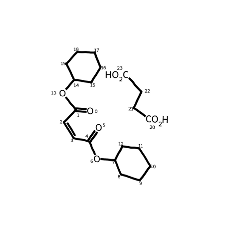 O=C(/C=C\C(=O)OC1CCCCC1)OC1CCCCC1.O=C(O)CCC(=O)O